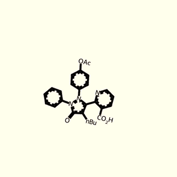 CCCCc1c(-c2ncccc2C(=O)O)n(-c2ccc(OC(C)=O)cc2)n(-c2ccccc2)c1=O